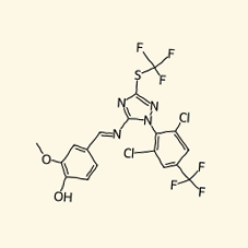 COc1cc(C=Nc2nc(SC(F)(F)F)nn2-c2c(Cl)cc(C(F)(F)F)cc2Cl)ccc1O